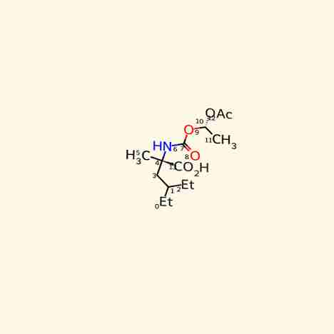 CCC(CC)C[C@](C)(NC(=O)O[C@@H](C)OC(C)=O)C(=O)O